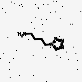 NCCCCn1cnnn1